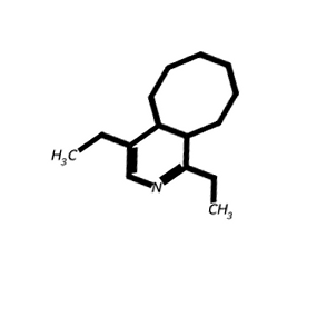 CCC1=CN=C(CC)C2CCCCCCC12